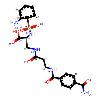 NC(=O)c1ccc(C(=O)NCCC(=O)NC[C@H](NS(=O)(=O)c2ccccc2N)C(=O)O)cc1